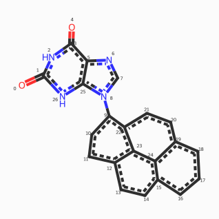 O=c1[nH]c(=O)c2ncn(-c3ccc4ccc5cccc6ccc3c4c56)c2[nH]1